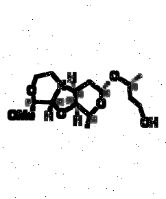 CO[C@H]1OCCN2[C@@H]1O[C@@H]1[C@H](C)O[C@@H](O[C@H](C)CCO)C[C@@H]12